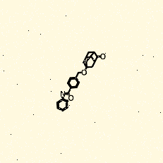 O=C1C2CC3CC1CC(OCc1ccc(-c4nc5ccccc5o4)cc1)(C3)C2